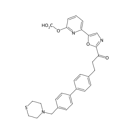 O=C(O)Oc1cccc(-c2cnc(C(=O)CCc3ccc(-c4ccc(CN5CCSCC5)cc4)cc3)o2)n1